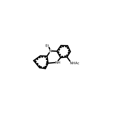 CCN1c2ccccc2Nc2c(NC(C)=O)cccc21